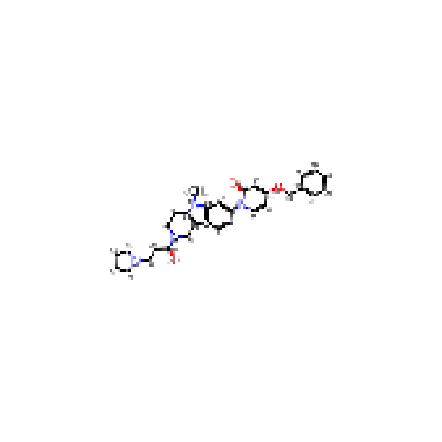 Cn1c2c(c3ccc(-n4ccc(OCc5ccccc5)cc4=O)cc31)CN(C(=O)CCN1CCCC1)CC2